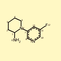 NC1CCCCN1c1cncc(F)c1